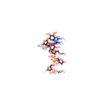 BC1CC(OP(O)(=S)OCC)C(COP(O)(=S)OC2CC(B)OC2COP(O)(=S)OC2CC(BCC(C)(C)C3(O)C(C)OC(OC4CC(O)(NC(=N)N)C(NC(=N)N)C(O)C4O)C3OC3OC(CO)C(O)C(O)C3NC)OC2COC)O1